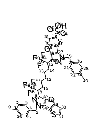 Cc1ccc(Cn2nc(C(CCCCCC(c3nn(Cc4ccc(C)cc4)c4c3oc3cc(S(=O)(=O)O)sc34)C(F)(F)F)C(F)(F)F)c3oc4ccsc4c32)cc1